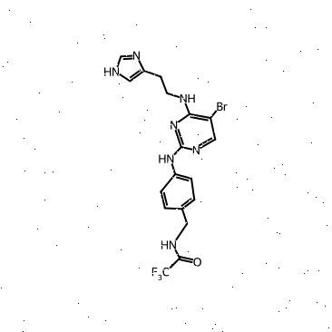 O=C(NCc1ccc(Nc2ncc(Br)c(NCCc3c[nH]cn3)n2)cc1)C(F)(F)F